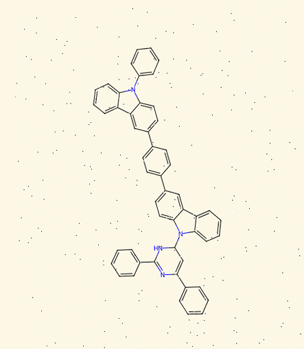 C1=C(c2ccccc2)N=C(c2ccccc2)NC1n1c2ccccc2c2cc(-c3ccc(-c4ccc5c(c4)c4ccccc4n5-c4ccccc4)cc3)ccc21